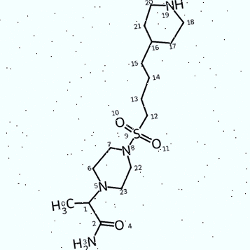 CC(C(N)=O)N1CCN(S(=O)(=O)CCC[CH]C2CCNCC2)CC1